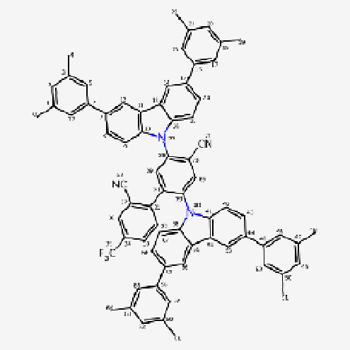 Cc1cc(C)cc(-c2ccc3c(c2)c2cc(-c4cc(C)cc(C)c4)ccc2n3-c2cc(-c3ccc(C(F)(F)F)cc3C#N)c(-n3c4ccc(-c5cc(C)cc(C)c5)cc4c4cc(-c5cc(C)cc(C)c5)ccc43)cc2C#N)c1